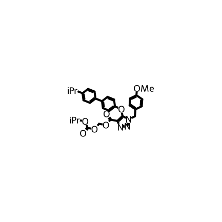 COc1ccc(Cn2nnc(C(=O)OCOC(=O)OC(C)C)c2Oc2ccc(-c3ccc(C(C)C)cc3)cc2)cc1